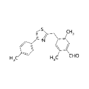 Cc1ccc(-c2csc(Cc3cc(C)c(C=O)cc3C)n2)cc1